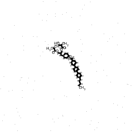 C=C(C)C(=O)OCC(COC(=O)C(=C)CO)CC1CCC(OC(F)(F)c2ccc(-c3ccc(-c4ccc(CCCCC)cc4)cc3)cc2)CC1